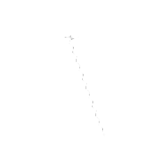 Cl[Si](Cl)(Cl)CCCCCCCCCCCCCCCCCCCCBr